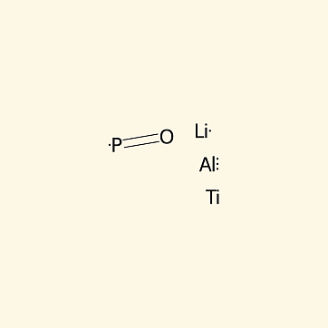 O=[P].[Al].[Li].[Ti]